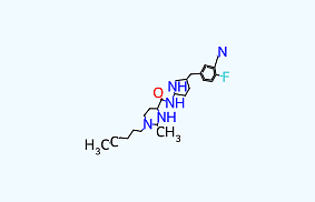 CCCCCCN1CCC(C(=O)NC2CCC(Cc3ccc(F)c(C#N)c3)CN2)NC1C